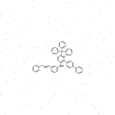 C(=N\Cc1ccccc1)/c1cccc(Nc2ccc3c(c2-c2ccc(-c4ccccc4)cc2)-c2ccccc2C3(c2ccccc2)c2ccccc2)c1